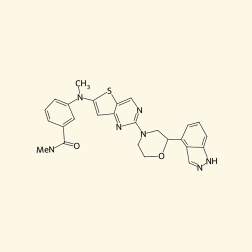 CNC(=O)c1cccc(N(C)c2cc3nc(N4CCOC(c5cccc6[nH]ncc56)C4)ncc3s2)c1